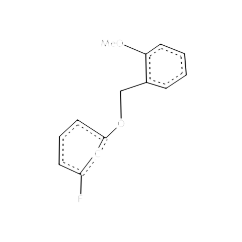 COc1ccccc1COc1cc[c]c(F)c1